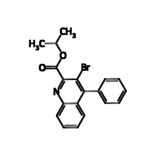 CC(C)OC(=O)c1nc2ccccc2c(-c2ccccc2)c1Br